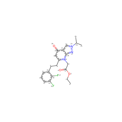 CCOC(=O)Cn1c(CCc2cccc(F)c2F)cc(=O)c2cn(C(C)C)nc21